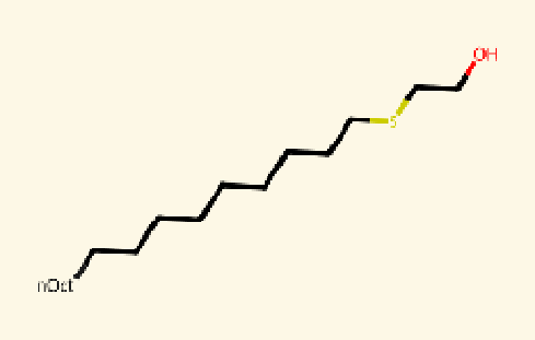 CCCCCCCCCCCCCCCCCSCCO